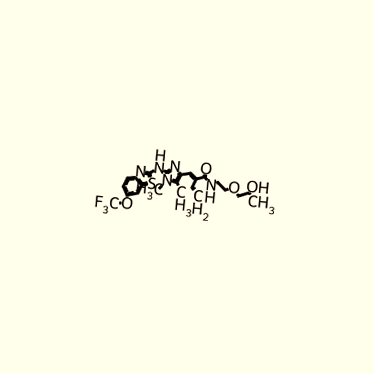 C=C/C(=C\c1nc(Nc2nc3ccc(OC(F)(F)F)cc3s2)n(C)c1C)C(=O)NCCOCC(C)O